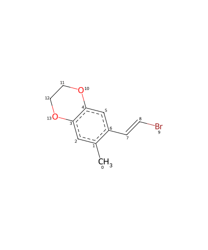 Cc1cc2c(cc1/C=C/Br)OCCO2